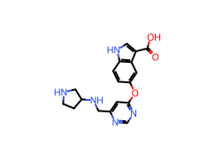 O=C(O)c1c[nH]c2ccc(Oc3cc(CNC4CCNC4)ncn3)cc12